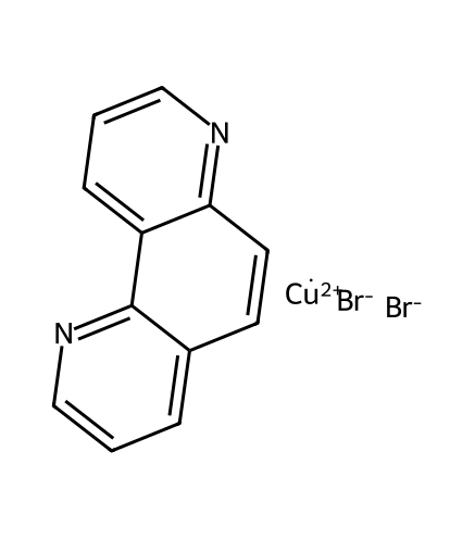 [Br-].[Br-].[Cu+2].c1cnc2c(c1)ccc1ncccc12